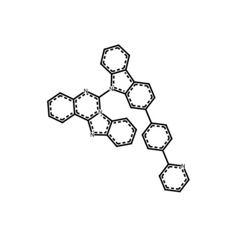 c1ccc(-c2ccc(-c3ccc4c5ccccc5n(-c5nc6ccccc6c6nc7ccccc7n56)c4c3)cc2)nc1